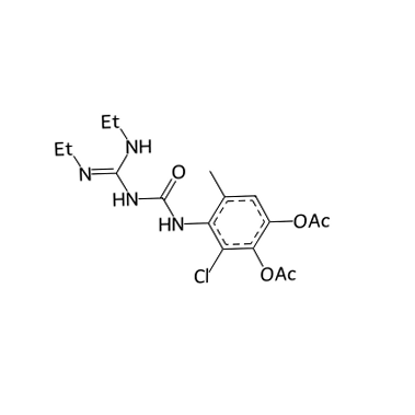 CCN=C(NCC)NC(=O)Nc1c(C)cc(OC(C)=O)c(OC(C)=O)c1Cl